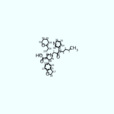 CCCCN(C(=O)CN1C[C@H](c2ccc3c(c2)CCO3)[C@@H](C(=O)O)[C@@H]1CCC1CCCCO1)c1cccnc1